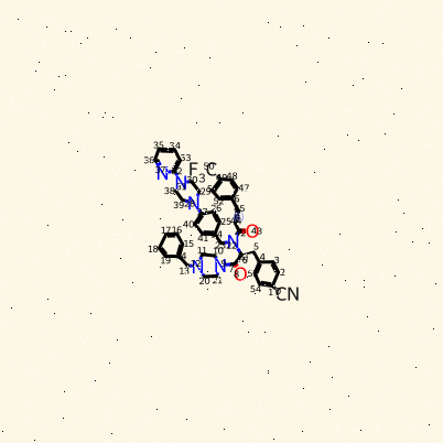 N#Cc1ccc(C[C@@H](C(=O)N2CCN(Cc3ccccc3)CC2)N(Cc2ccc(N3CCN(c4ccccn4)CC3)cc2)C(=O)/C=C/c2ccc(C(F)(F)F)cc2)cc1